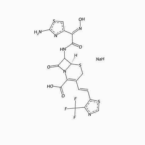 Nc1nc(/C(=N\O)C(=O)NC2C(=O)N3C(C(=O)O)=C(/C=C/c4scnc4C(F)(F)F)CS[C@H]23)cs1.[NaH]